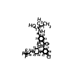 CC[C@H](C)[C@@H](CO)NCc1ccc(C(=O)Nc2ccc(Cl)cc2N2CCN(CCC(F)(F)F)CC2)c(F)c1